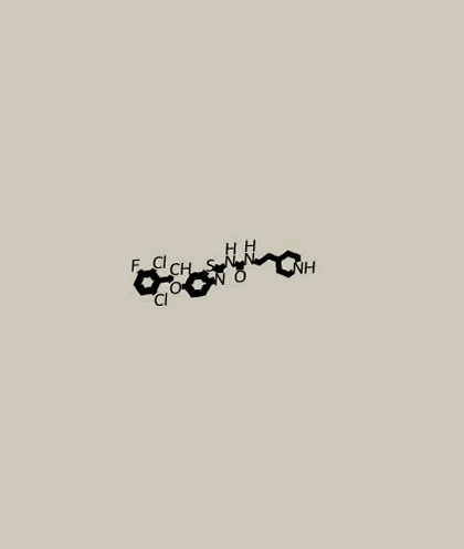 CC(Oc1ccc2nc(NC(=O)NCCC3CCNCC3)sc2c1)c1c(Cl)ccc(F)c1Cl